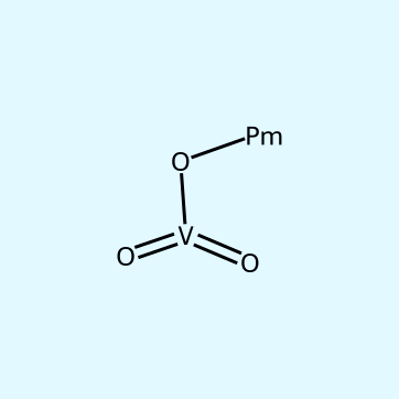 [O]=[V](=[O])[O][Pm]